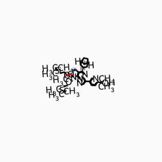 CCO/C=C\c1c([C@H]2C[C@@H]3CC[C@@H](C3)C2)nc2c(-c3ccc(C(C)(C)O)nc3)cnn2c1N(COCC[Si](C)(C)C)COCC[Si](C)(C)C